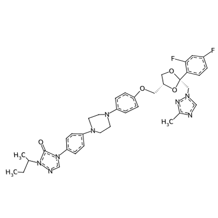 CCC(C)n1ncn(-c2ccc(N3CCN(c4ccc(OC[C@@H]5CO[C@@](Cn6cnc(C)n6)(c6ccc(F)cc6F)O5)cc4)CC3)cc2)c1=O